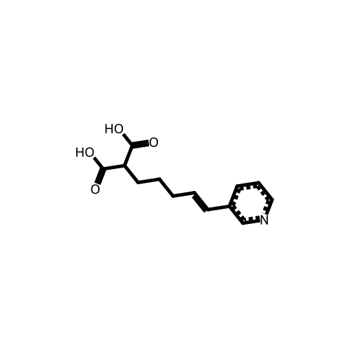 O=C(O)C(CCCC=Cc1cccnc1)C(=O)O